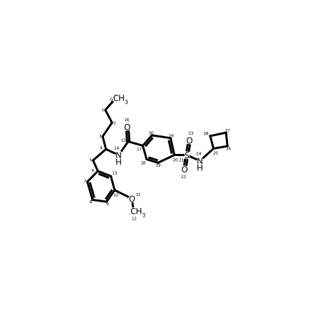 CCCCC(Cc1cccc(OC)c1)NC(=O)c1ccc(S(=O)(=O)NC2CCC2)cc1